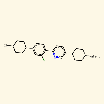 CCCCC[C@H]1CC[C@H](c2ccc(-c3ccc([C@H]4CC[C@H](CC)CC4)cc3F)nc2)CC1